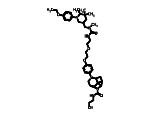 CCOc1ccc(N2CC(CN(C)C(=O)NCCOCCOc3ccc(N4CC5CC67C(CC46)C7N5C(=O)NCCO)cc3)CC(C)(C)C2C)cc1